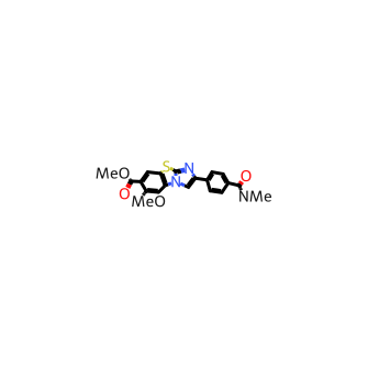 CNC(=O)c1ccc(-c2cn3c(n2)sc2cc(C(=O)OC)c(OC)cc23)cc1